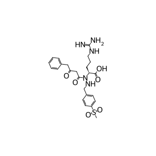 CS(=O)(=O)c1ccc(CNN(C(=O)CC(=O)Cc2ccccc2)[C@@H](CCCNC(=N)N)C(=O)O)cc1